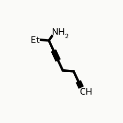 C#CCCC#CC(N)C[CH2]